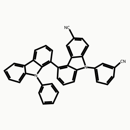 N#Cc1cccc(-n2c3ccc(C#N)cc3c3c(-c4cccc5c6ccccc6n(-c6ccccc6)c45)cccc32)c1